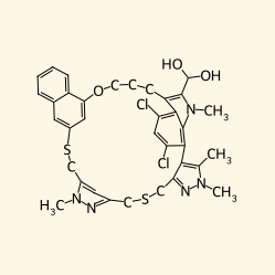 Cc1c2c(nn1C)CSCc1cc(n(C)n1)CSc1cc(c3ccccc3c1)OCCCc1c(C(O)O)n(C)c3c-2c(Cl)cc(Cl)c13